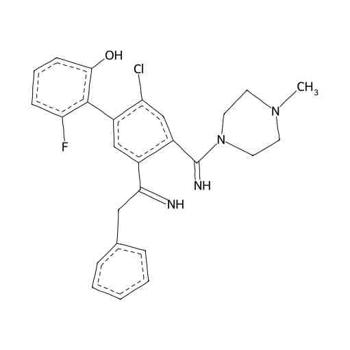 CN1CCN(C(=N)c2cc(Cl)c(-c3c(O)cccc3F)cc2C(=N)Cc2ccccc2)CC1